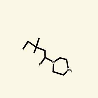 CCC(C)(C)CC(F)N1CCNCC1